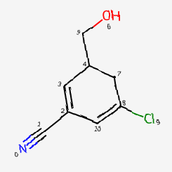 N#CC1=CC(CO)CC(Cl)=C1